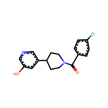 O=C(c1ccc(Cl)cc1)N1CCC(c2cncc(O)c2)CC1